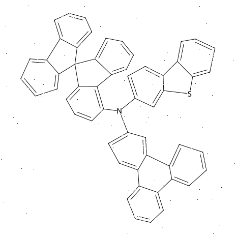 c1ccc2c(c1)-c1ccccc1C21c2ccccc2-c2c(N(c3ccc4c(c3)sc3ccccc34)c3ccc4c5ccccc5c5ccccc5c4c3)cccc21